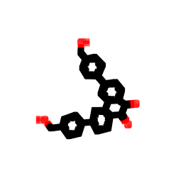 O=C1C(=O)c2ccc(-c3ccc(CO)cc3)cc2-c2cc(-c3ccc(CO)cc3)ccc21